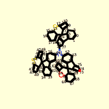 C1=CC2=C(CC1)C1(c3ccccc3Sc3ccccc31)c1ccc(N(c3ccc4c(c3)-c3ccccc3C43c4ccccc4Sc4ccccc43)c3ccc4c(c3)C3(c5ccccc5Oc5ccccc53)c3ccccc3-4)cc12